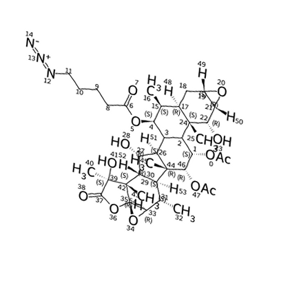 CC(=O)O[C@H]1C2C([C@@H](OC(=O)CCCCN=[N+]=[N-])[C@@H](C)[C@H]3C[C@@H]4O[C@@H]4[C@H](O)[C@]23C)[C@@H]2[C@@H](O)[C@@H]3[C@H]([C@H](C)[C@H]4O[C@]45OC(=O)[C@@](C)(O)[C@]35C)[C@@]2(C)[C@H]1OC(C)=O